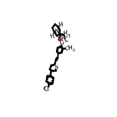 CC[C@]1(O)C[C@H]2CC[C@@H](C1)N2CCOc1ccc(C#Cc2ccc(-c3ccc(Cl)cc3)cn2)cc1C